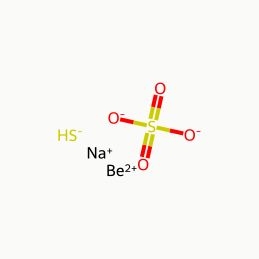 O=S(=O)([O-])[O-].[Be+2].[Na+].[SH-]